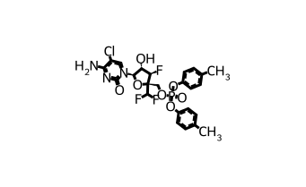 Cc1ccc(OP(=O)(OC[C@@]2(C(F)F)O[C@@H](n3cc(Cl)c(N)nc3=O)[C@H](O)[C@H]2F)Oc2ccc(C)cc2)cc1